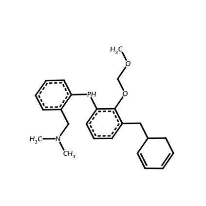 COCOc1c(CC2C=CC=CC2)cccc1Pc1ccccc1CN(C)C